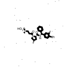 CC(C)c1ccc([C@@H](NC(=O)[C@@H]2C[C@@H](F)CN2C(=O)CCN(C)C(=O)O)c2ccccc2)cc1F